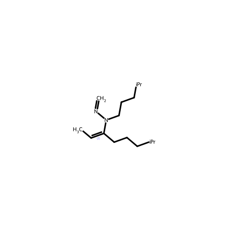 C=NN(CCCC(C)C)/C(=C\C)CCCC(C)C